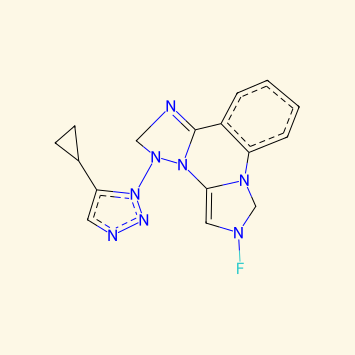 FN1C=C2N(C1)c1ccccc1C1=NCN(n3nncc3C3CC3)N21